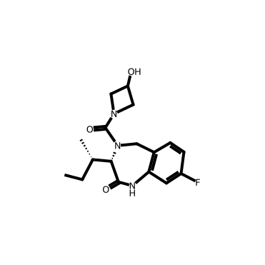 CC[C@H](C)[C@H]1C(=O)Nc2cc(F)ccc2CN1C(=O)N1CC(O)C1